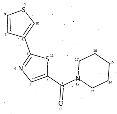 O=C(c1cnc(-c2ccsc2)s1)N1CCCCC1